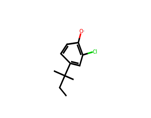 CCC(C)(C)c1ccc([O])c(Cl)c1